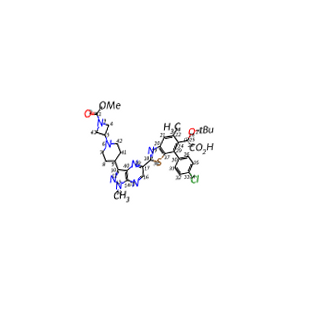 COC(=O)N1CC(N2CCC(c3nn(C)c4ncc(-c5nc6cc(C)c([C@H](OC(C)(C)C)C(=O)O)c(-c7ccc(Cl)cc7)c6s5)nc34)CC2)C1